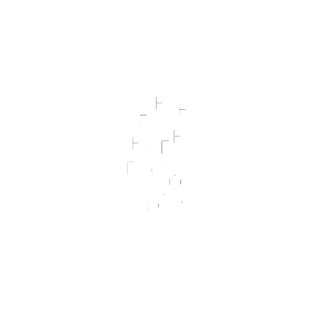 COC1(COC(F)C(F)(F)C(F)C(F)C(F)F)OCCO1